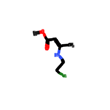 CCOC(=O)/C=C(/C)NCCCl